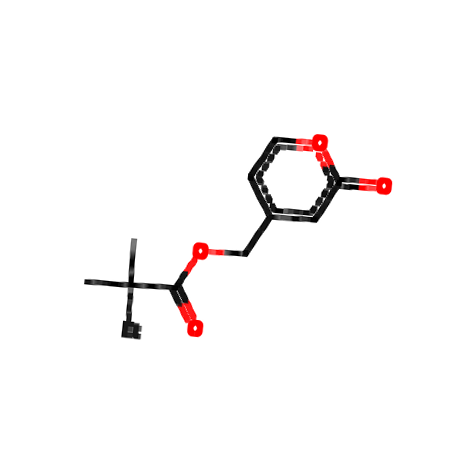 CCC(C)(C)C(=O)OCc1ccoc(=O)c1